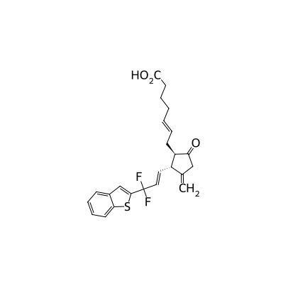 C=C1CC(=O)[C@H](CC=CCCCC(=O)O)[C@H]1C=CC(F)(F)c1cc2ccccc2s1